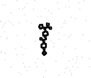 CCC(=O)N(C1CCCC1)C1CCN(CC(=O)N2CCN(C3CCC3)CC2)CC1